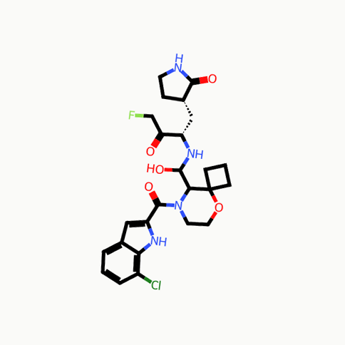 O=C1NCC[C@H]1C[C@H](NC(O)C1N(C(=O)c2cc3cccc(Cl)c3[nH]2)CCOC12CCC2)C(=O)CF